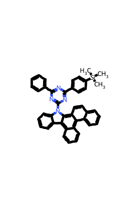 C[Si](C)(C)c1ccc(-c2nc(-c3ccccc3)nc(-n3c4ccccc4c4c5ccccc5c5c6ccccc6ccc5c43)n2)cc1